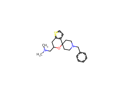 CN(C)CC1Cc2sccc2C2(CCN(Cc3ccccc3)CC2)O1